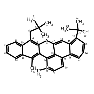 Cc1c2c(c(CC(C)(C)C)c3ccccc13)Sc1cc3c(C(C)(C)C)cccc3c3cc[n+](C)c-2c13